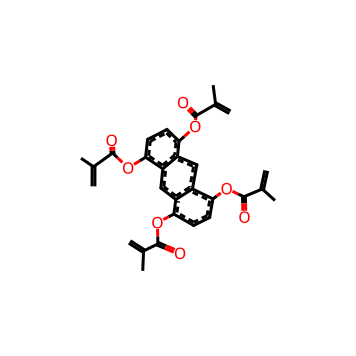 C=C(C)C(=O)Oc1ccc(OC(=O)C(=C)C)c2cc3c(OC(=O)C(=C)C)ccc(OC(=O)C(=C)C)c3cc12